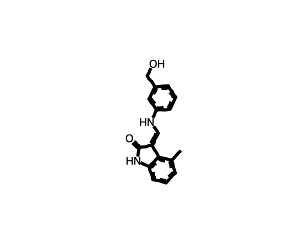 Cc1cccc2c1C(=CNc1cccc(CO)c1)C(=O)N2